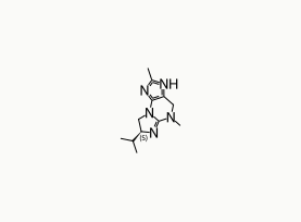 Cc1nc2c([nH]1)CN(C)C1=N[C@@H](C(C)C)CN12